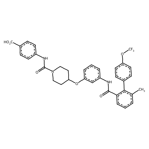 Cc1cccc(C(=O)Nc2cccc(OC3CCN(C(=O)Nc4ccc(C(=O)O)cc4)CC3)c2)c1-c1ccc(OC(F)(F)F)cc1